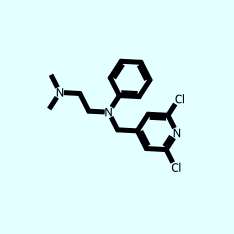 CN(C)CCN(Cc1cc(Cl)nc(Cl)c1)c1ccccc1